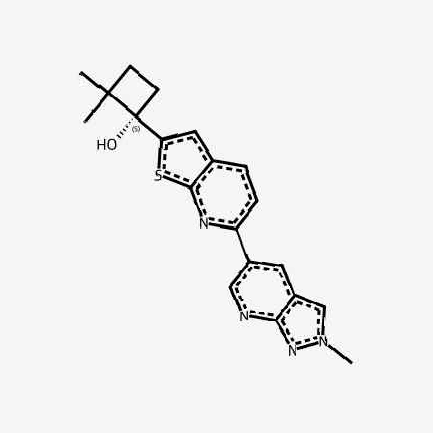 Cn1cc2cc(-c3ccc4cc([C@]5(O)CCC5(C)C)sc4n3)cnc2n1